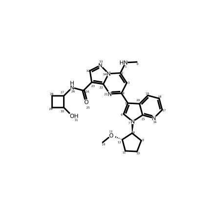 CNc1cc(-c2cn([C@H]3CCC[C@@H]3OC)c3ncccc23)nc2c(C(=O)NC3CCC3O)cnn12